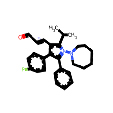 CC(C)c1c(/C=C/C=O)c(-c2ccc(F)cc2)c(-c2ccccc2)n1N1CCCCCC1